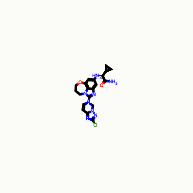 NC(=O)[C@@H](Nc1cc2c3c(c1)nc(N1C=Cc4nc(Cl)nn4C1)n3CCCO2)C1CC1